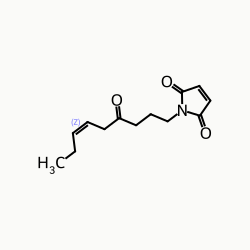 CC/C=C\CC(=O)CCCN1C(=O)C=CC1=O